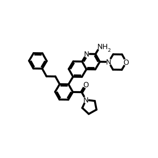 Nc1nc2ccc(-c3c(CCc4ccccc4)cccc3C(=O)N3CCCC3)cc2cc1N1CCOCC1